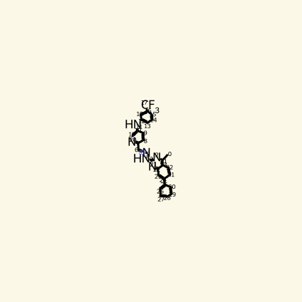 Cc1nc(N/N=C/c2ccc(Nc3cccc(C(F)(F)F)c3)cn2)nc2cc(-c3ccccc3)ccc12